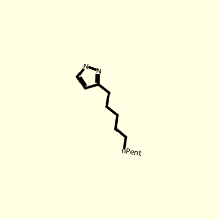 CCCCCCCCCCC1=N[N]C=C1